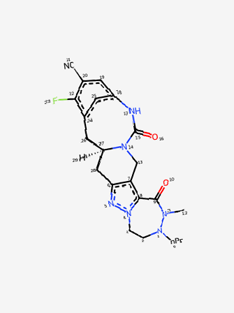 CCCN1CCn2nc3c(c2C(=O)N1C)CN1C(=O)Nc2cc(C#N)c(F)c(c2)C[C@@H]1C3